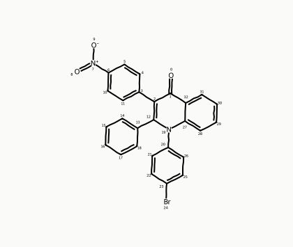 O=c1c(-c2ccc([N+](=O)[O-])cc2)c(-c2ccccc2)n(-c2ccc(Br)cc2)c2ccccc12